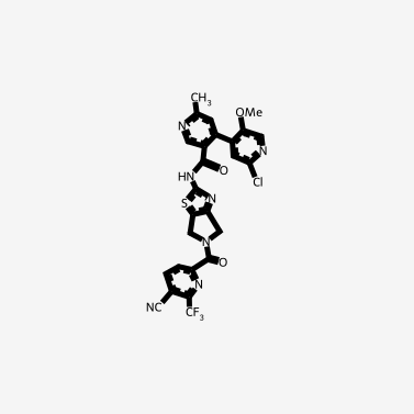 COc1cnc(Cl)cc1-c1cc(C)ncc1C(=O)Nc1nc2c(s1)CN(C(=O)c1ccc(C#N)c(C(F)(F)F)n1)C2